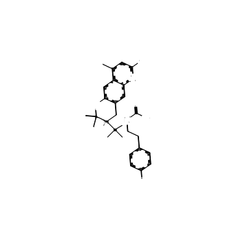 Cc1cc(Cl)nc2cc3c(cc12)OC(C)(C)[C@@](O)(C(C)(C)C)[C@H]3N(CCc1ccc(F)cc1)C(=O)O